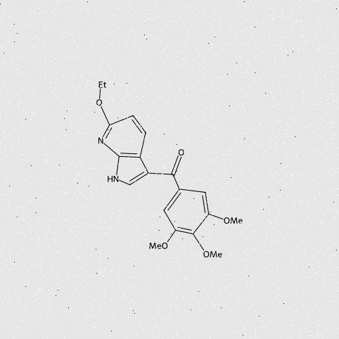 CCOc1ccc2c(C(=O)c3cc(OC)c(OC)c(OC)c3)c[nH]c2n1